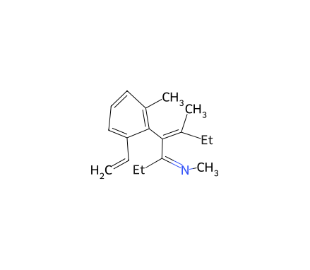 C=Cc1cccc(C)c1C(/C(CC)=N\C)=C(\C)CC